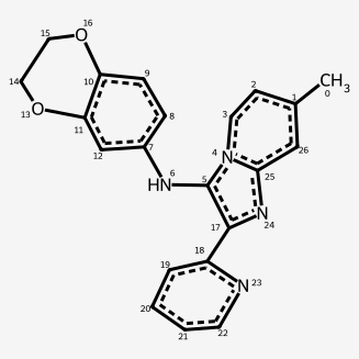 Cc1ccn2c(Nc3ccc4c(c3)OCCO4)c(-c3ccccn3)nc2c1